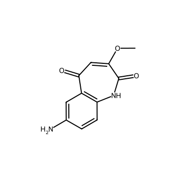 COc1cc(=O)c2cc(N)ccc2[nH]c1=O